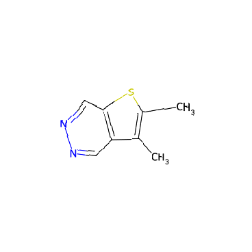 Cc1sc2cnncc2c1C